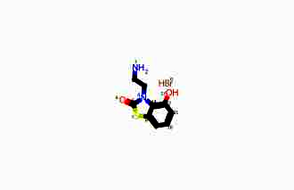 Br.NCCn1c(=O)sc2cccc(O)c21